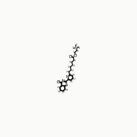 C[Si](C)(C)CCOC(=O)CCCCCCc1cccc(-c2nc(=O)c3ccccc3s2)n1